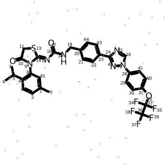 Cc1ccc(C(C)C)c(N2C(=O)CSC2=NC(=O)NCc2ccc(-c3ncn(-c4ccc(OC(F)(F)C(F)(F)F)cc4)n3)cc2)c1